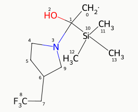 [CH2]C(O)(N1CCC(CC(F)(F)F)C1)[Si](C)(C)C